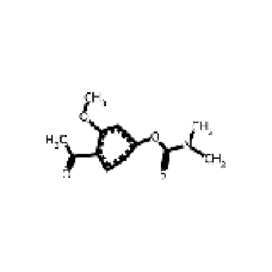 COc1cc(OC(=S)N(C)C)ccc1C(C)=O